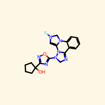 OC1(c2noc(N3CN=C4c5ccccc5N5CN(F)C=C5N43)n2)CCCC1